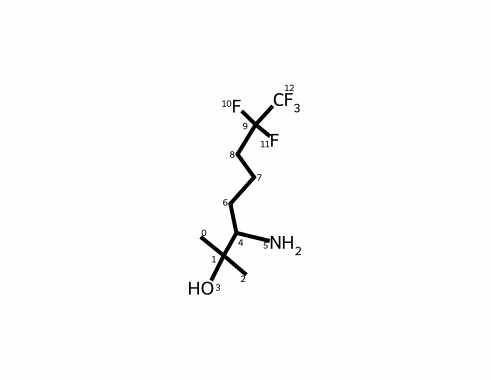 CC(C)(O)C(N)CCCC(F)(F)C(F)(F)F